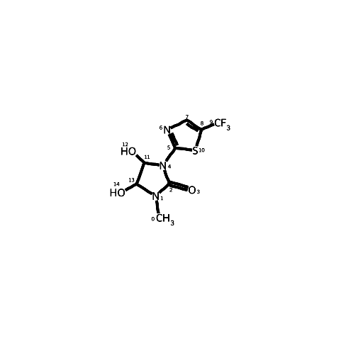 CN1C(=O)N(c2ncc(C(F)(F)F)s2)C(O)C1O